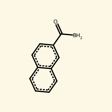 BC(=O)c1ccc2ccccc2c1